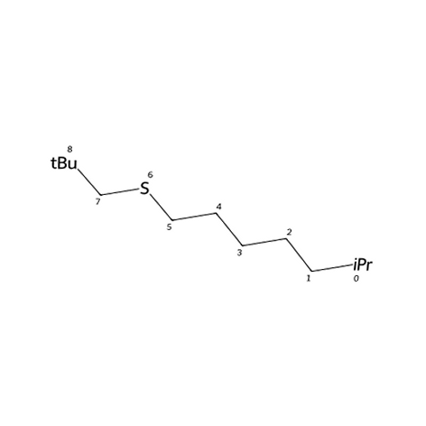 CC(C)CCCCCSCC(C)(C)C